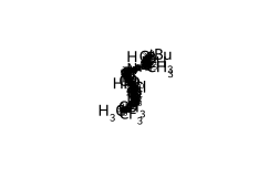 CC(C)(C)OC(=O)N1C[C@@H](CCCNc2cccc(S(=O)(=O)NC(=O)c3ccc(-n4ccc(OCCC(C)(C)C(F)(F)F)n4)nc3Cl)n2)CC1(C)C